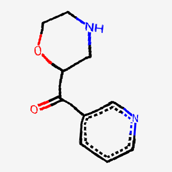 O=C(c1cccnc1)C1CNCCO1